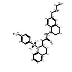 Cc1ccc(S(=O)(=O)N2c3ccccc3CCC2CC(=O)N[C@@H]2CCCc3cc(CNCC(C)C)ccc32)cc1